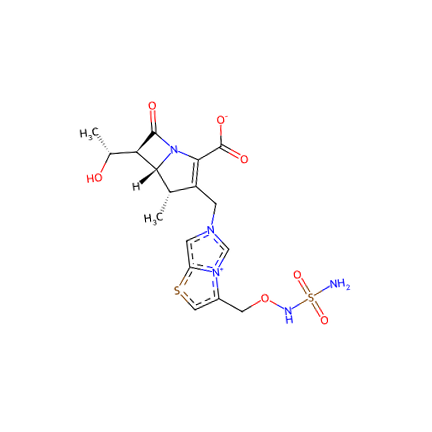 C[C@@H](O)[C@H]1C(=O)N2C(C(=O)[O-])=C(Cn3cc4scc(CONS(N)(=O)=O)[n+]4c3)[C@H](C)[C@H]12